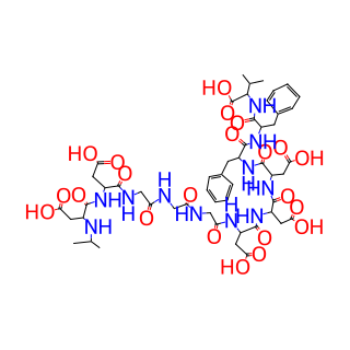 CC(C)NC(CC(=O)O)C(=O)NC(CC(=O)O)C(=O)NCC(=O)NCC(=O)NCC(=O)NC(CC(=O)O)C(=O)NC(CC(=O)O)C(=O)NC(CC(=O)O)C(=O)NC(Cc1ccccc1)C(=O)NC(Cc1ccccc1)C(=O)NC(C(=O)O)C(C)C